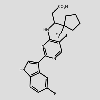 O=C(O)CC(Nc1nc(-c2c[nH]c3ncc(F)cc23)ncc1I)C1(C(F)(F)F)CCCC1